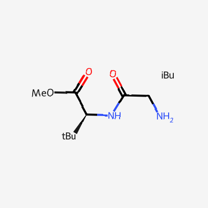 CC[C@H](C)C(N)C(=O)N[C@H](C(=O)OC)C(C)(C)C